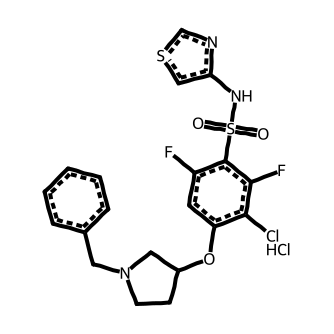 Cl.O=S(=O)(Nc1cscn1)c1c(F)cc(OC2CCN(Cc3ccccc3)C2)c(Cl)c1F